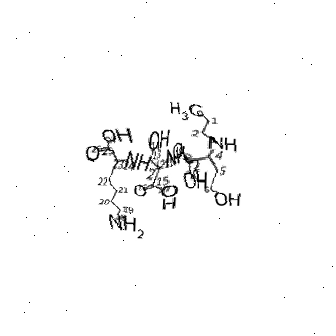 CCCNC(CCO)C(=O)O.NC(CO)C(=O)O.NCCCCC(N)C(=O)O